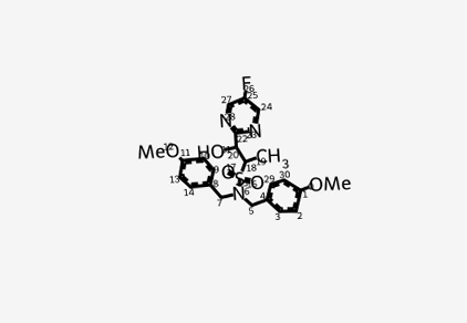 COc1ccc(CN(Cc2ccc(OC)cc2)S(=O)(=O)C(C)C(O)c2ncc(F)cn2)cc1